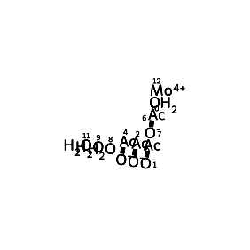 CC(=O)[O-].CC(=O)[O-].CC(=O)[O-].CC(=O)[O-].O.O.O.O.[Mo+4]